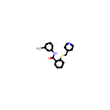 Cc1cccc(NC(=O)c2ccccc2SCc2ccncc2)c1